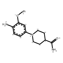 CC(C)Oc1cc(N2CCC(C(N)=O)CC2)ccc1N